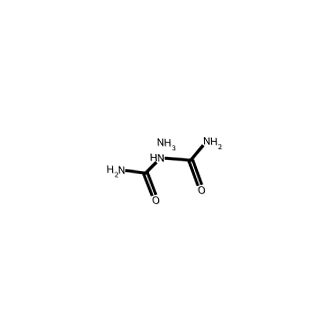 N.NC(=O)NC(N)=O